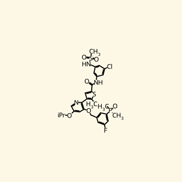 Cc1sc(C(=O)Nc2cc(Cl)cc(NS(C)(=O)=O)c2)cc1-c1ncc(OC(C)C)cc1OCc1cc(F)cc(P(C)(C)=O)c1